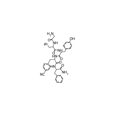 CC(C)CC(NC(=O)CN)C(=O)NC(Cc1ccc(O)cc1)C(=O)NC(Cc1ccc(C#N)cc1)C(=O)NC(Cc1ccccc1)C(N)=O